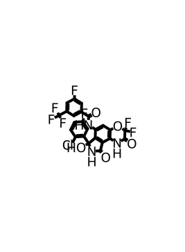 O=C(Nc1cc2c(c3c1C(O)(c1cc(F)ccc1Cl)NC3=O)NC(=O)C(F)(F)O2)c1cc(F)cc(C(F)(F)F)c1